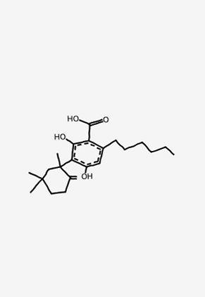 C=C1CCC(C)(C)CC1(C)c1c(O)cc(CCCCCC)c(C(=O)O)c1O